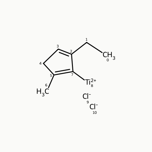 CCC1=CCC(C)=[C]1[Ti+2].[Cl-].[Cl-]